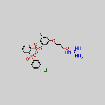 Cc1cc(OCCCONC(=N)N)cc(OS(=O)(=O)c2ccccc2S(=O)(=O)c2ccccc2)c1.Cl